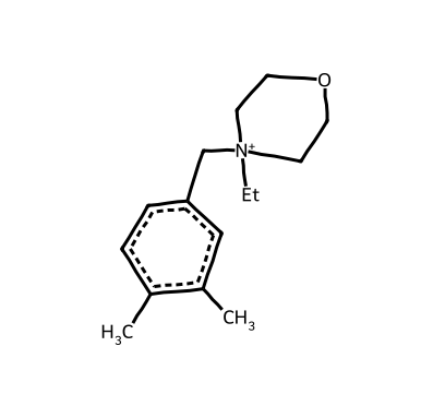 CC[N+]1(Cc2ccc(C)c(C)c2)CCOCC1